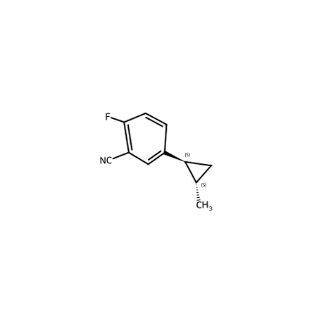 C[C@H]1C[C@@H]1c1ccc(F)c(C#N)c1